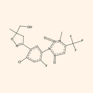 Cn1c(C(F)(F)F)cc(=O)n(-c2cc(C3=NOC(C)(CO)C3)c(Cl)cc2F)c1=O